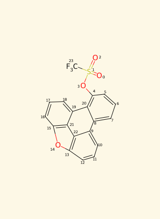 O=S(=O)(Oc1cccc2c3cccc4oc5cccc(c12)c5c43)C(F)(F)F